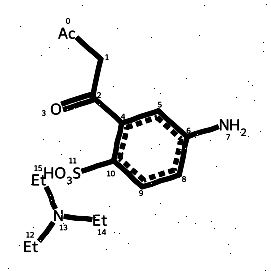 CC(=O)CC(=O)c1cc(N)ccc1S(=O)(=O)O.CCN(CC)CC